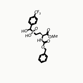 COC(=O)[C@H](CCP(=O)(O)C(O)c1ccc(C(F)(F)F)cc1)NC(=O)OCc1ccccc1